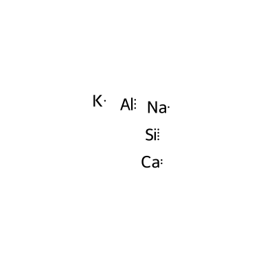 [Al].[Ca].[K].[Na].[Si]